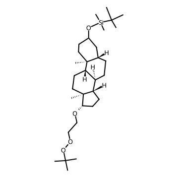 CC(C)(C)OOCCO[C@H]1CC[C@H]2[C@@H]3CC[C@H]4CC(O[Si](C)(C)C(C)(C)C)CC[C@]4(C)[C@H]3CC[C@]12C